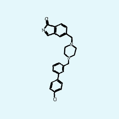 O=C1N=Cc2cc(CN3CCN(Cc4cccc(-c5ccc(Cl)cc5)c4)CC3)ccc21